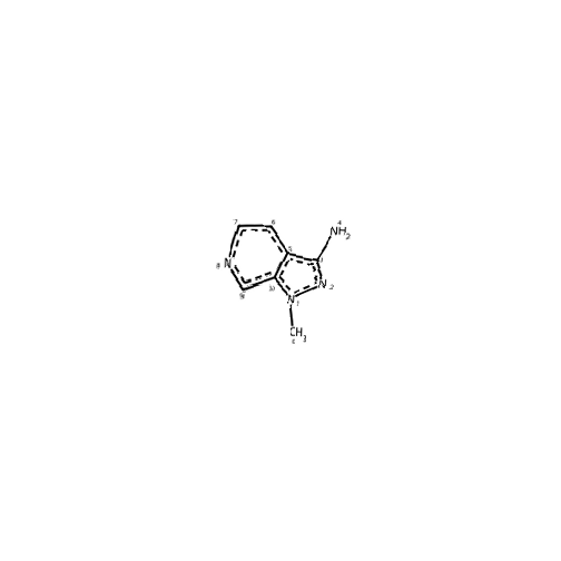 Cn1nc(N)c2ccncc21